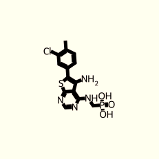 Cc1ccc(-c2sc3ncnc(NCP(=O)(O)O)c3c2N)cc1Cl